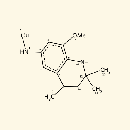 CCC(C)Nc1cc(OC)c2c(c1)C(C)CC(C)(C)N2